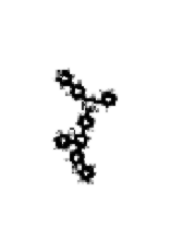 c1ccc(-c2cc(-c3ccc(-c4ccncc4)cc3)nc(-c3ccc(-c4ccc(-c5ccc6oc7ccccc7c6c5)c5c4oc4ccccc45)cc3)n2)cc1